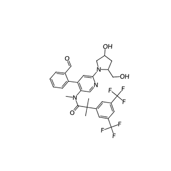 CN(C(=O)C(C)(C)c1cc(C(F)(F)F)cc(C(F)(F)F)c1)c1cnc(N2CC(O)CC2CO)cc1-c1ccccc1C=O